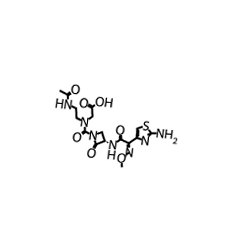 CON=C(C(=O)N[C@H]1CN(C(=O)N(CCNC(C)=O)CC(=O)O)C1=O)c1csc(N)n1